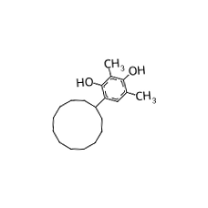 Cc1cc(C2CCCCCCCCCCC2)c(O)c(C)c1O